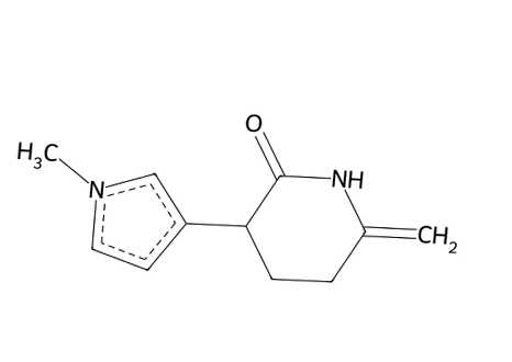 C=C1CCC(c2ccn(C)c2)C(=O)N1